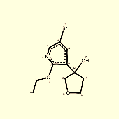 CCOc1ncc(Br)cc1C1(O)CCOC1